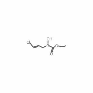 CCOC(=O)N(O)CC=CCl